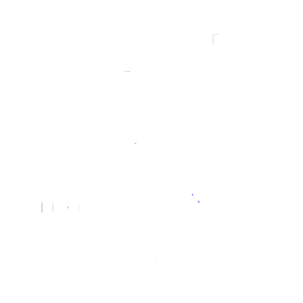 CCOC(=O)c1c2n(c3ccc(F)c(Br)c3c1=O)C(C)CS2